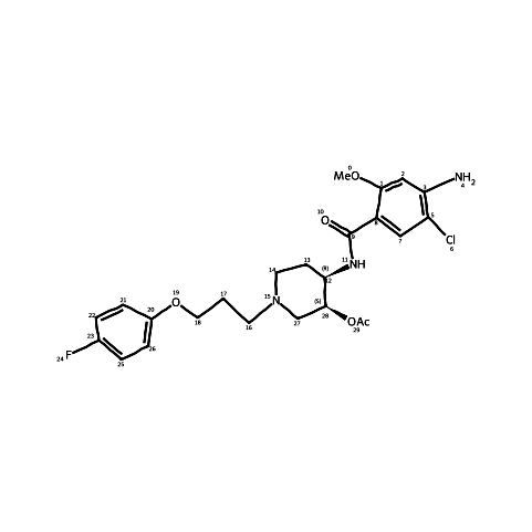 COc1cc(N)c(Cl)cc1C(=O)N[C@@H]1CCN(CCCOc2ccc(F)cc2)C[C@@H]1OC(C)=O